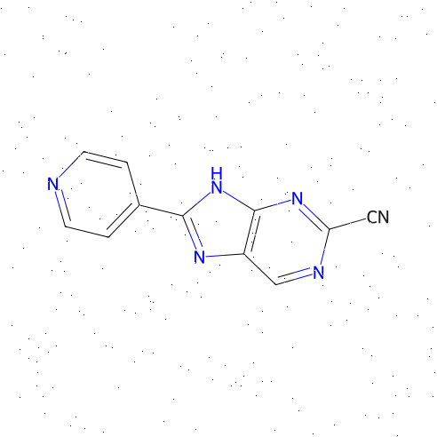 N#Cc1ncc2nc(-c3ccncc3)[nH]c2n1